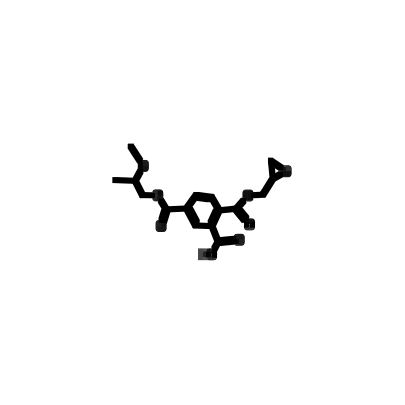 COC(C)COC(=O)c1ccc(C(=O)OCC2CO2)c(C(=O)O)c1